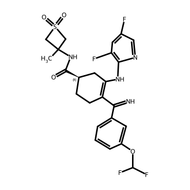 CC1(NC(=O)[C@@H]2CCC(C(=N)c3cccc(OC(F)F)c3)=C(Nc3ncc(F)cc3F)C2)CS(=O)(=O)C1